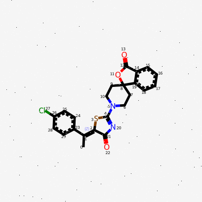 C/C(=C1/SC(N2CCC3(CC2)OC(=O)c2ccccc23)=NC1=O)c1ccc(Cl)cc1